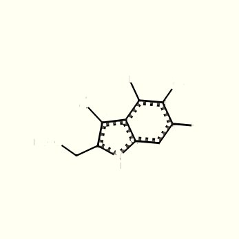 O=C(O)Cc1[nH]c2cc(Cl)c(Cl)c(Cl)c2c1Cl